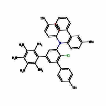 Bc1c(B)c(B)c(-c2cc(-c3ccc(C(C)(C)C)cc3)c(Cl)c(N(c3ccc(C(C)(C)C)cc3)c3ccc(C(C)(C)C)cc3-c3ccccc3)c2)c(B)c1B